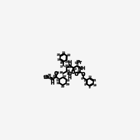 CC(C)[C@H](NC(=O)OCc1ccccc1)C(=O)N[C@@H](Cc1ccccc1)[C@H](O)C[C@@H]1CCCC[C@H]1C(=O)NC(C)(C)C